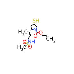 C=CCOC(=O)N1C[C@@H](S)C[C@H]1C(C)=CCNS(C)(=O)=O